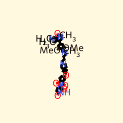 C=N/C=c1/c(=O)n(C)cc(-c2cc(OC)c(CN(C)CCCCN3CCC4(CC3)CC(Oc3ccc5c(c3)C(=O)N(C3CCC(=O)NC3=O)C5=O)C4)c(OC)c2)/c1=C/C